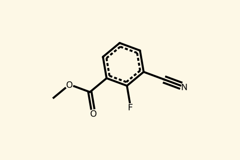 COC(=O)c1cccc(C#N)c1F